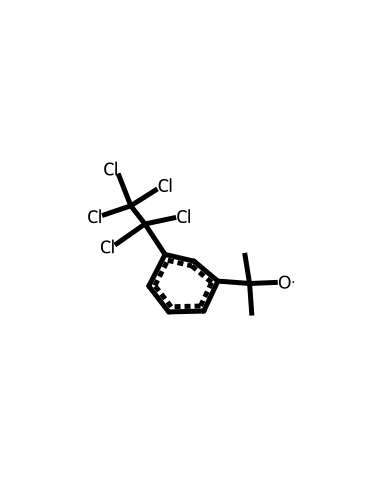 CC(C)([O])c1cccc(C(Cl)(Cl)C(Cl)(Cl)Cl)c1